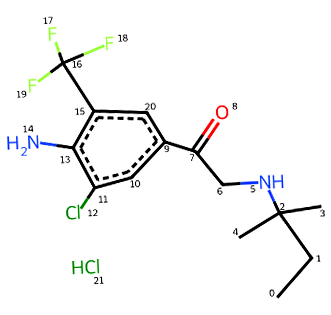 CCC(C)(C)NCC(=O)c1cc(Cl)c(N)c(C(F)(F)F)c1.Cl